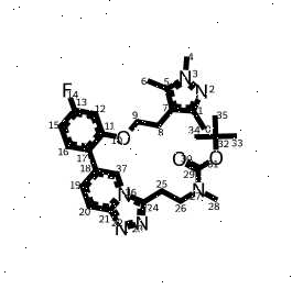 Cc1nn(C)c(C)c1CCOc1cc(F)ccc1-c1ccc2nnc(CCN(C)C(=O)OC(C)(C)C)n2c1